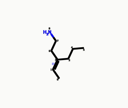 C/C=C(\CCC)CCN